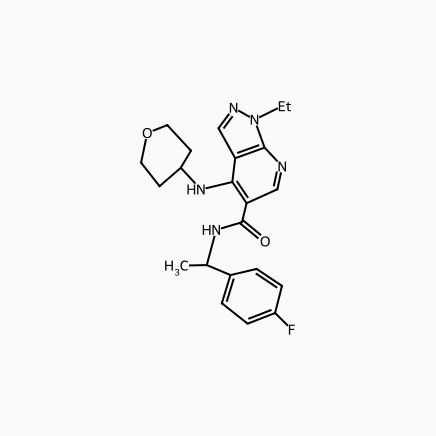 CCn1ncc2c(NC3CCOCC3)c(C(=O)NC(C)c3ccc(F)cc3)cnc21